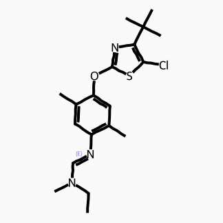 CCN(C)/C=N/c1cc(C)c(Oc2nc(C(C)(C)C)c(Cl)s2)cc1C